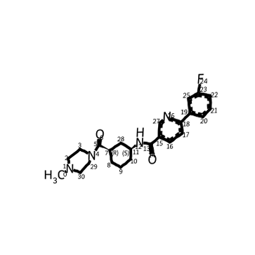 CN1CCN(C(=O)[C@@H]2CCC[C@H](NC(=O)c3ccc(-c4cccc(F)c4)nc3)C2)CC1